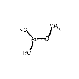 CO[As](O)O